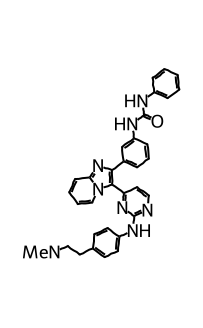 CNCCc1ccc(Nc2nccc(-c3c(-c4cccc(NC(=O)Nc5ccccc5)c4)nc4ccccn34)n2)cc1